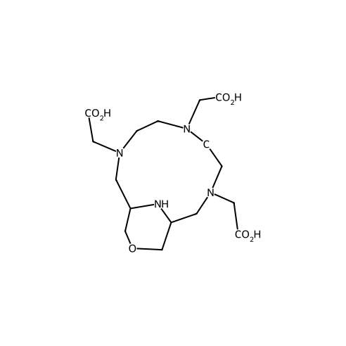 O=C(O)CN1CCN(CC(=O)O)CC2COCC(CN(CC(=O)O)CC1)N2